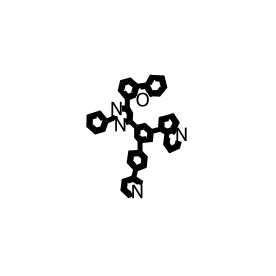 c1ccc(-c2nc(-c3cc(-c4ccc(-c5cccnc5)cc4)cc(-c4cccc5ncccc45)c3)cc(-c3cccc4c3oc3ccccc34)n2)cc1